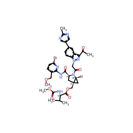 COCc1ccc(Br)nc1NC(=O)[C@@H]1C[C@@]2(COC(=O)[C@@H](NC(=O)OC)C(C)C)C[C@H]2N1C(=O)Cn1nc(C(C)=O)c2cc(-c3cnc(C)nc3)ccc21